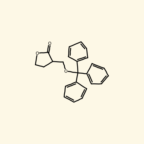 O=C1OCCC1COC(c1ccccc1)(c1ccccc1)c1ccccc1